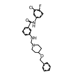 O=C(Nc1ccc(F)c(Cl)c1)c1cccc(NCN2CCC(OCc3ccccc3)CC2)c1